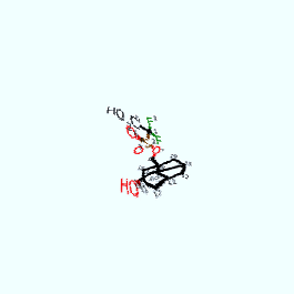 O=C(O)C(F)(F)S(=O)(=O)OCC12CC3CC(CC(O)(C3)C1)C2